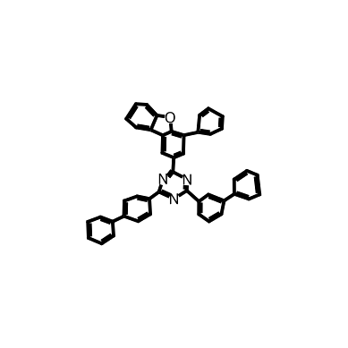 c1ccc(-c2ccc(-c3nc(-c4cccc(-c5ccccc5)c4)nc(-c4cc(-c5ccccc5)c5oc6ccccc6c5c4)n3)cc2)cc1